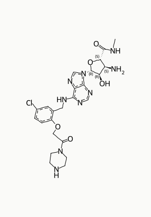 CNC(=O)[C@H]1O[C@@H](n2cnc3c(NCc4cc(Cl)ccc4OCC(=O)N4CCNCC4)ncnc32)[C@H](O)[C@@H]1N